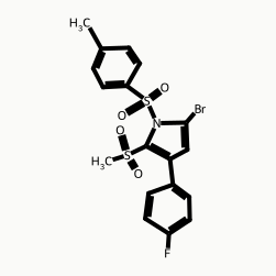 Cc1ccc(S(=O)(=O)n2c(Br)cc(-c3ccc(F)cc3)c2S(C)(=O)=O)cc1